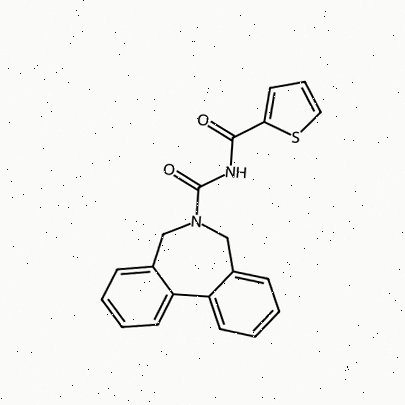 O=C(NC(=O)N1Cc2ccccc2-c2ccccc2C1)c1cccs1